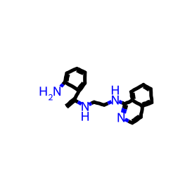 C=C(NCCNc1nccc2ccccc12)c1ccccc1N